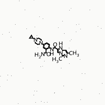 CC1=CC2NC(C(=O)Nc3ccc(N4CCN(C5CC5)CC4)cc3C(N)=O)=CN2C(C)=N1